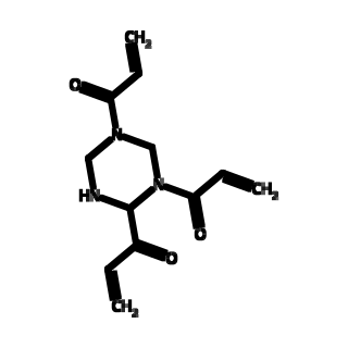 C=CC(=O)C1NCN(C(=O)C=C)CN1C(=O)C=C